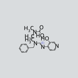 CN(/C=N/c1ccncc1O)Cc1ccccc1.CN(C)C(=O)O